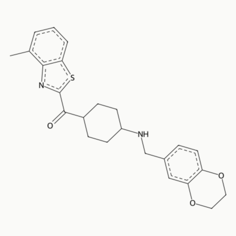 Cc1cccc2sc(C(=O)C3CCC(NCc4ccc5c(c4)OCCO5)CC3)nc12